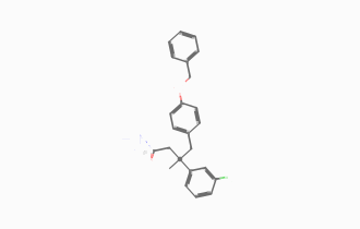 CC(Cc1ccc(OCc2ccccc2)cc1)(C[C@H](N)O)c1cccc(Cl)c1